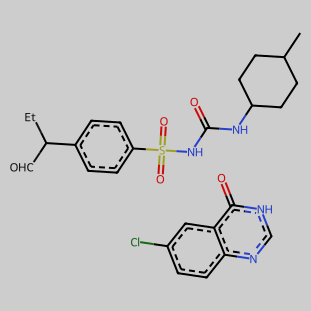 CCC(C=O)c1ccc(S(=O)(=O)NC(=O)NC2CCC(C)CC2)cc1.O=c1[nH]cnc2ccc(Cl)cc12